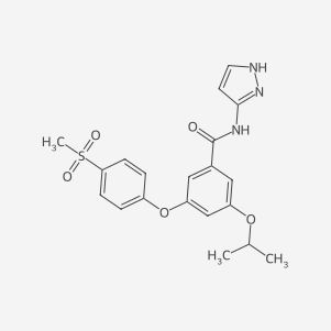 CC(C)Oc1cc(Oc2ccc(S(C)(=O)=O)cc2)cc(C(=O)Nc2cc[nH]n2)c1